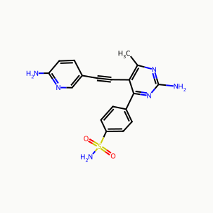 Cc1nc(N)nc(-c2ccc(S(N)(=O)=O)cc2)c1C#Cc1ccc(N)nc1